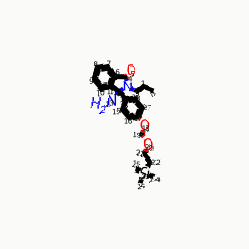 CCCN1C(=O)c2ccccc2C1(N)c1ccc(OCOCC[Si](C)(C)C)cc1